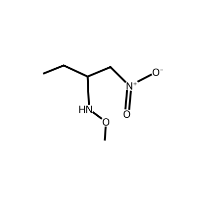 CCC(C[N+](=O)[O-])NOC